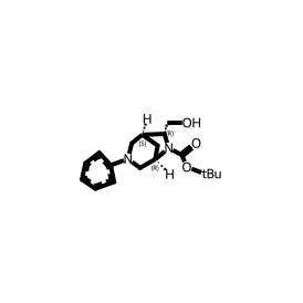 CC(C)(C)OC(=O)N1[C@@H]2C[C@@H](CN(c3ccccc3)C2)[C@@H]1CO